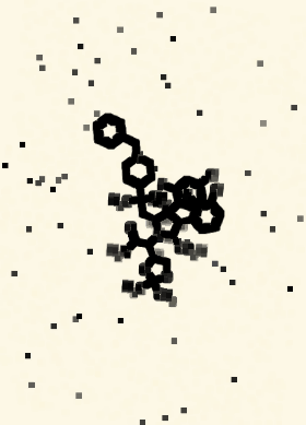 CC1(C)OC[C@H](C(C(N)=O)N2[C@@H](CC(C)(C)C3=CCN(Cc4ccccc4)CC3)[C@](C#N)(c3ccc(Cl)cc3F)[C@@H](c3cccc(Cl)c3F)[C@@H]2C(=O)O)O1